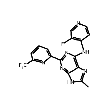 Cc1nc2c(Nc3ccncc3F)nc(-c3cccc(C(F)(F)F)n3)nc2[nH]1